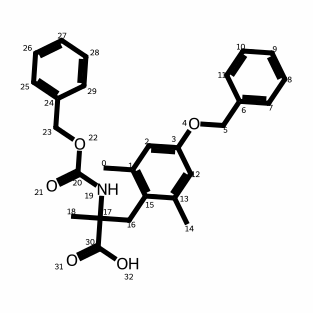 Cc1cc(OCc2ccccc2)cc(C)c1CC(C)(NC(=O)OCc1ccccc1)C(=O)O